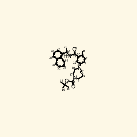 Cc1ccc(N2CCCN(C(=O)OC(C)(C)C)CC2)cc1C(=O)N[C@H](C)c1cccc2ccccc12